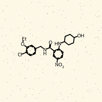 CCOc1cc(CNC(=O)c2cc([N+](=O)[O-])ccc2NC2CCC(O)CC2)ccc1Cl